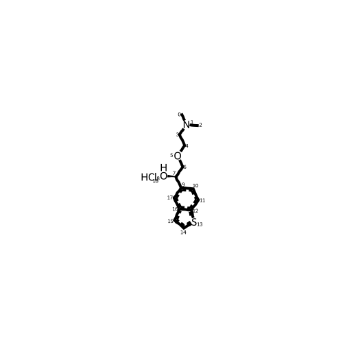 CN(C)CCOC[C@H](O)c1ccc2sccc2c1.Cl